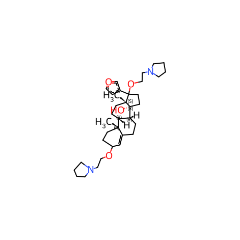 C[C@]12CCC(OCCN3CCCC3)C=C1CC[C@@H]1[C@H]2CC[C@]2(C)C(OCCN3CCCC3)(c3ccoc3)CC[C@@]12O